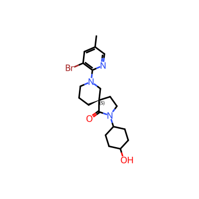 Cc1cnc(N2CCC[C@]3(CCN(C4CCC(O)CC4)C3=O)C2)c(Br)c1